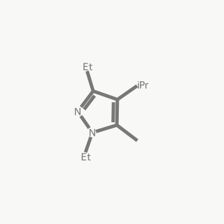 CCc1nn(CC)c(C)c1C(C)C